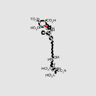 O=C(O)CC[C@H](NC(=O)N[C@@H](CCCCNC(O)CCCCCCCCCCN1CCN(c2nc(Nc3ccc(CC4CN(CC(=O)O)CCN(CC(=O)O)CCN(CC(=O)O)CCN4CC(=O)O)cc3)nc(N3CCCCC3)n2)CC1)C(=O)O)C(=O)O